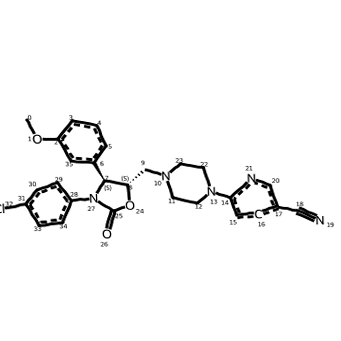 COc1cccc([C@H]2[C@H](CN3CCN(c4ccc(C#N)cn4)CC3)OC(=O)N2c2ccc(Cl)cc2)c1